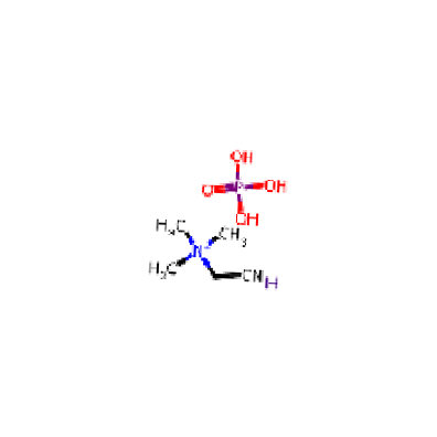 C[N+](C)(C)CC#N.I.O=P(O)(O)O